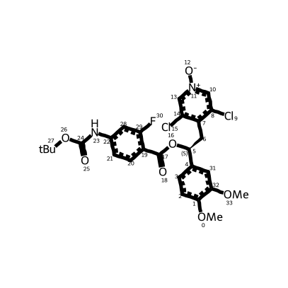 COc1ccc([C@H](Cc2c(Cl)c[n+]([O-])cc2Cl)OC(=O)c2ccc(NC(=O)OC(C)(C)C)cc2F)cc1OC